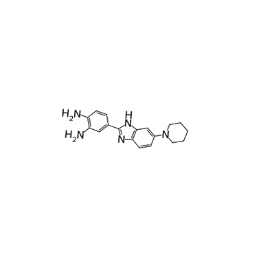 Nc1ccc(-c2nc3ccc(N4CCCCC4)cc3[nH]2)cc1N